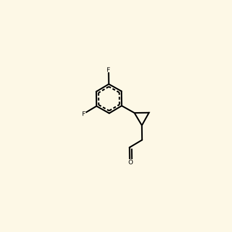 O=CCC1CC1c1cc(F)cc(F)c1